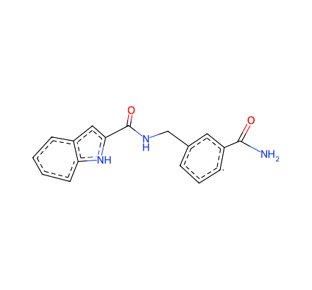 NC(=O)c1[c]ccc(CNC(=O)c2cc3ccccc3[nH]2)c1